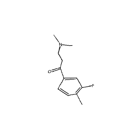 Cc1ccc(C(=O)CCN(C)C)cc1F